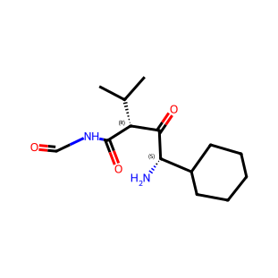 CC(C)[C@@H](C(=O)NC=O)C(=O)[C@@H](N)C1CCCCC1